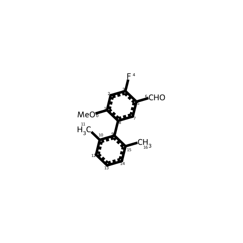 COc1cc(F)c(C=O)cc1-c1c(C)cccc1C